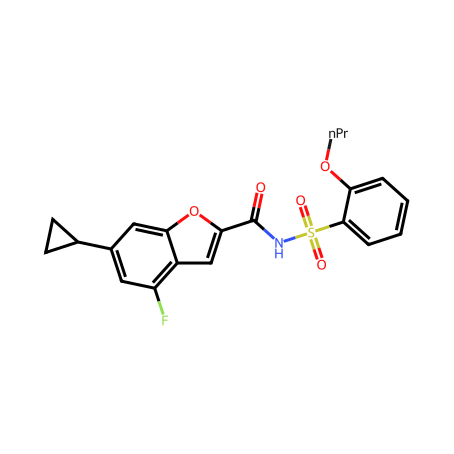 CCCOc1ccccc1S(=O)(=O)NC(=O)c1cc2c(F)cc(C3CC3)cc2o1